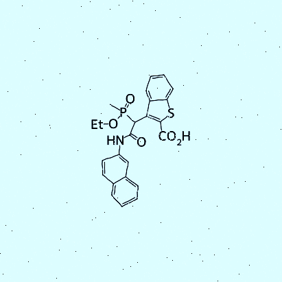 CCOP(C)(=O)C(C(=O)Nc1ccc2ccccc2c1)c1c(C(=O)O)sc2ccccc12